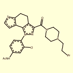 CC(=O)Nc1ccc(-n2nc(C(=O)N3CCN(CCC(C)C)CC3)c3c2-c2ccsc2CC3)c(Cl)c1